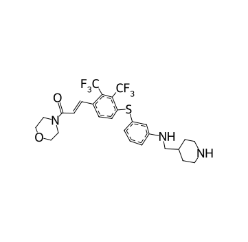 O=C(/C=C/c1ccc(Sc2cccc(NCC3CCNCC3)c2)c(C(F)(F)F)c1C(F)(F)F)N1CCOCC1